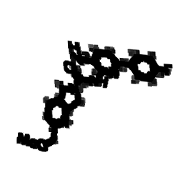 COCc1ccc2c(n1)CN(C(=O)Nc1nc(-c3ccc(F)cc3)ccc1N)C2